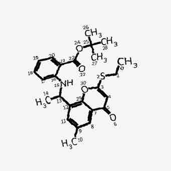 CCSc1cc(=O)c2cc(C)cc(C(C)Nc3ccccc3C(=O)OC(C)(C)C)c2o1